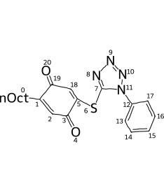 CCCCCCCCC1=CC(=O)C(Sc2nnnn2-c2ccccc2)=CC1=O